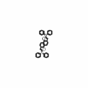 c1ccc(N(c2ccccc2)c2cc3ccc4c(ccc5cc(N(c6ccccc6)c6ccccc6)oc54)c3o2)cc1